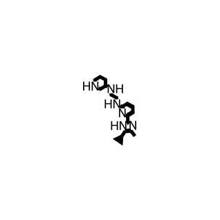 Cc1nc(-c2cccc(NCCNC3CCCNC3)n2)[nH]c1C1CC1